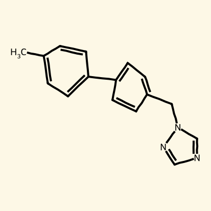 Cc1ccc(-c2ccc(Cn3cncn3)cc2)cc1